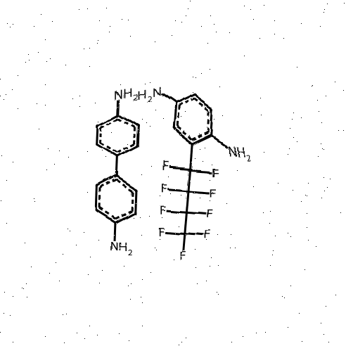 Nc1ccc(-c2ccc(N)cc2)cc1.Nc1ccc(N)c(C(F)(F)C(F)(F)C(F)(F)C(F)(F)F)c1